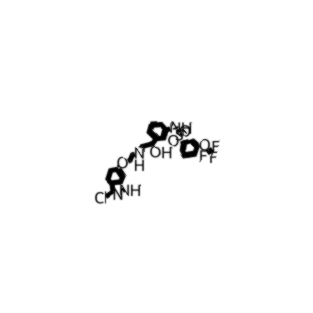 O=S(=O)(Nc1cccc([C@@H](O)CNCCOc2ccc3c(Cl)n[nH]c3c2)c1)c1cccc(OC(F)(F)F)c1